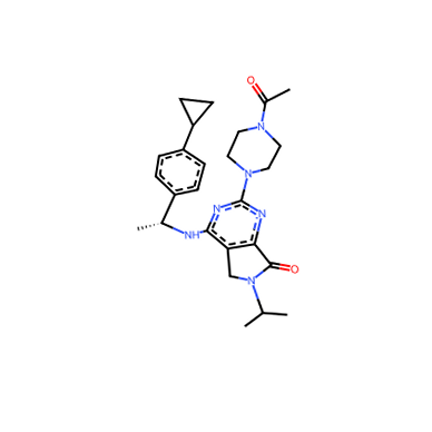 CC(=O)N1CCN(c2nc(N[C@H](C)c3ccc(C4CC4)cc3)c3c(n2)C(=O)N(C(C)C)C3)CC1